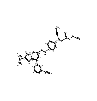 CC#C[C@@H](CC(=O)OCC)c1ccc(OCc2cc(-c3cccc(C#N)c3)c3nc(C(C)C)nn3c2)cc1